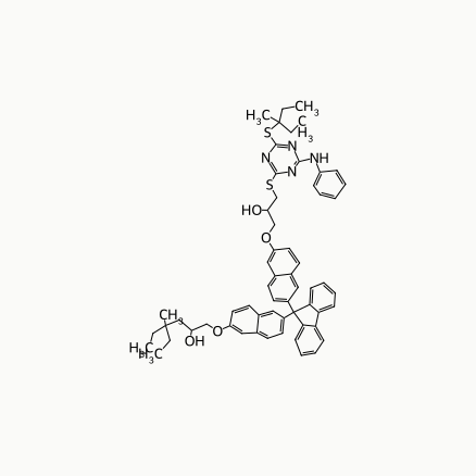 CCC(C)(CC)CC(O)COc1ccc2cc(C3(c4ccc5cc(OCC(O)CSc6nc(Nc7ccccc7)nc(SC(C)(CC)CC)n6)ccc5c4)c4ccccc4-c4ccccc43)ccc2c1